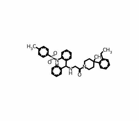 CCc1ccccc1C1(C)CCN(C(=O)CNC(c2ccccc2)c2ccccc2NS(=O)(=O)c2ccc(C)cc2)CC1